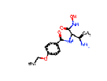 C=C(N)C(NC(=O)c1ccc(OCC(C)(C)C)cc1)C(=O)NO